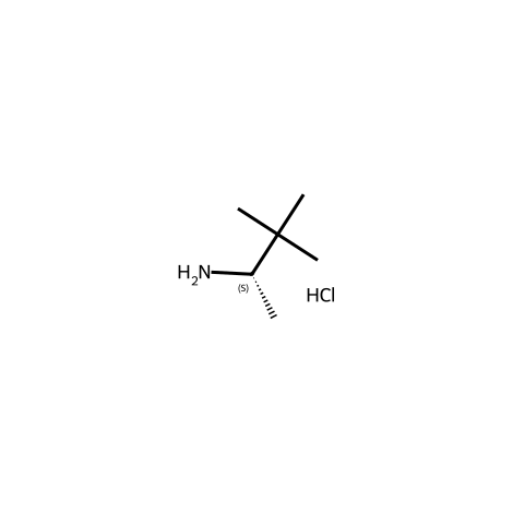 C[C@H](N)C(C)(C)C.Cl